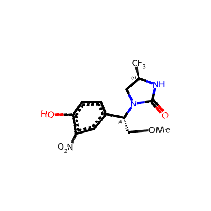 COC[C@H](c1ccc(O)c([N+](=O)[O-])c1)N1C[C@@H](C(F)(F)F)NC1=O